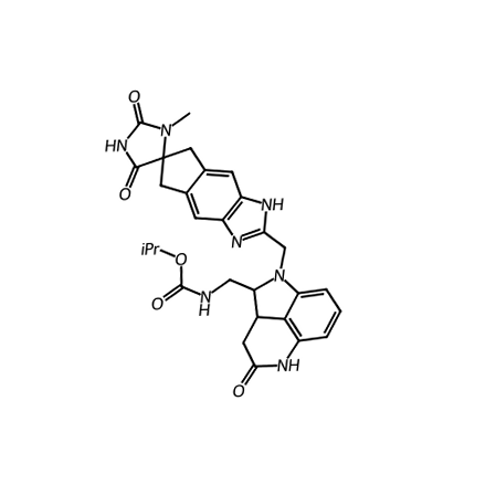 CC(C)OC(=O)NCC1C2CC(=O)Nc3cccc(c32)N1Cc1nc2cc3c(cc2[nH]1)CC1(C3)C(=O)NC(=O)N1C